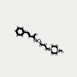 CC(/C=C/c1ccccc1)=N\OCCCN1CCN(C)CC1